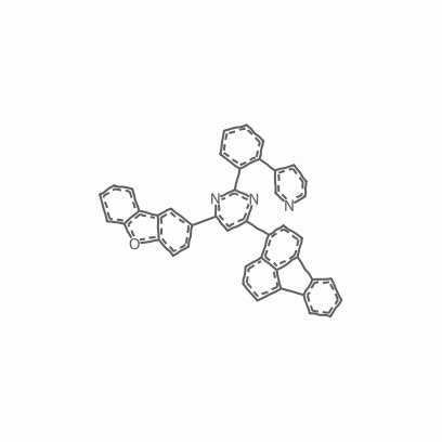 c1cncc(-c2ccccc2-c2nc(-c3ccc4oc5ccccc5c4c3)cc(-c3ccc4c5c(cccc35)-c3ccccc3-4)n2)c1